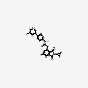 Cc1cncc(-c2ccc(NC(=O)Cc3cc(C)cc4c3C(=O)N(C3CC3)C4=O)nc2)c1